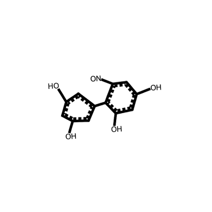 O=Nc1cc(O)cc(O)c1-c1cc(O)cc(O)c1